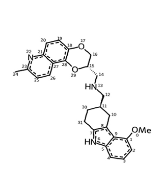 COc1cccc2[nH]c3c(c12)C[C@H](CNC[C@H]1COc2ccc4nc(C)ccc4c2O1)CC3